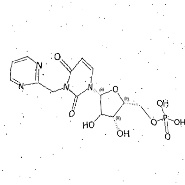 O=c1ccn([C@@H]2O[C@H](COP(=O)(O)O)[C@H](O)C2O)c(=O)n1Cc1ncccn1